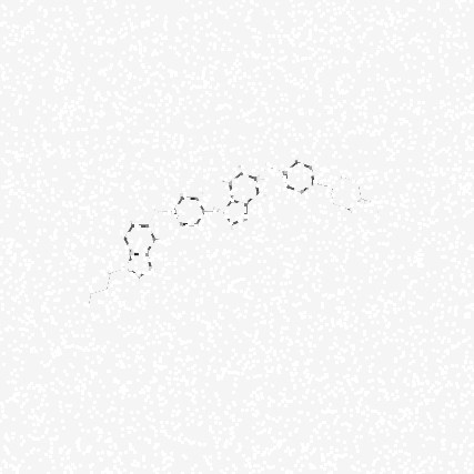 CCOC(=O)CCCn1ccc2cc(Nc3ccc(-n4ccc5cc(Nc6ccc(N7CCC(O)CC7)cc6)ccc54)cc3)ccc21